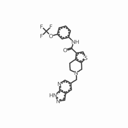 O=C(Nc1cccc(OC(F)(F)F)c1)c1csc2c1CCN(Cc1cnc3[nH]ncc3c1)C2